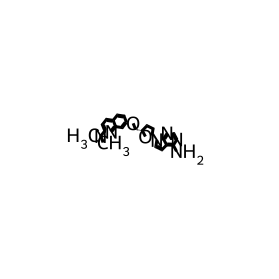 CN(C)c1ccc2ccc(OC[C@@H]3CC[C@H](n4ccc5c(N)ncnc54)O3)cc2n1